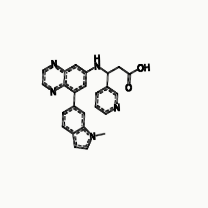 Cn1ccc2ccc(-c3cc(NC(CC(=O)O)c4cccnc4)cc4nccnc34)cc21